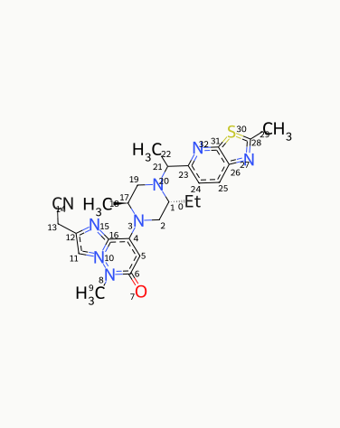 CC[C@@H]1CN(c2cc(=O)n(C)n3cc(CC#N)nc23)[C@@H](C)CN1C(C)c1ccc2nc(C)sc2n1